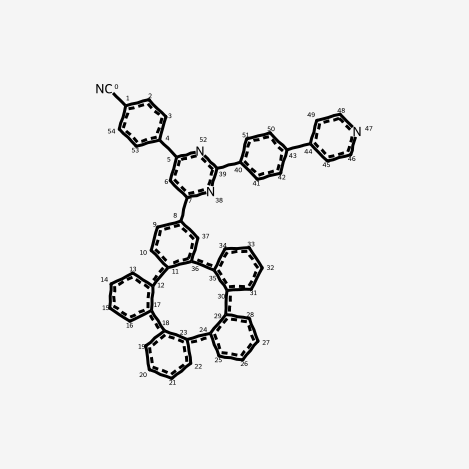 N#Cc1ccc(-c2cc(-c3ccc4c5ccccc5c5ccccc5c5ccccc5c5ccccc5c4c3)nc(-c3ccc(-c4ccncc4)cc3)n2)cc1